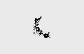 O=C(COc1ccc(Cl)c(F)c1)N[C@]1([SiH3])CC[C@H](C(=O)NCc2ccc(C(F)(F)F)o2)NC1